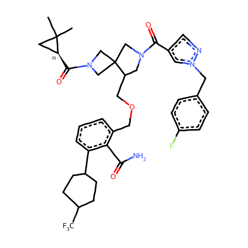 CC1(C)C[C@@H]1C(=O)N1CC2(CN(C(=O)c3cnn(Cc4ccc(F)cc4)c3)CC2COCc2cccc(C3CCC(C(F)(F)F)CC3)c2C(N)=O)C1